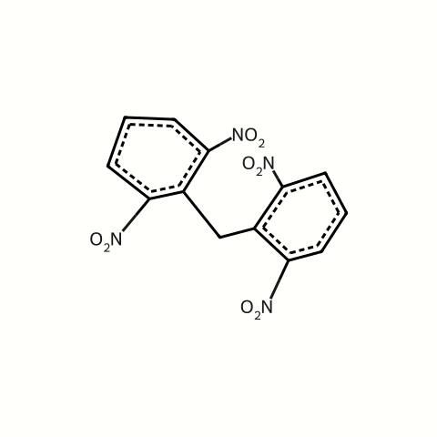 O=[N+]([O-])c1cccc([N+](=O)[O-])c1Cc1c([N+](=O)[O-])cccc1[N+](=O)[O-]